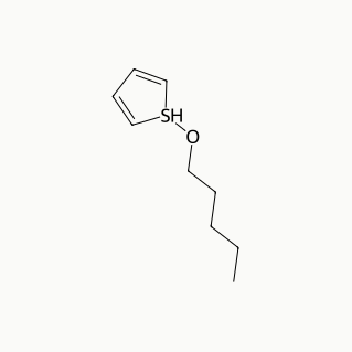 CCCCCO[SH]1C=CC=C1